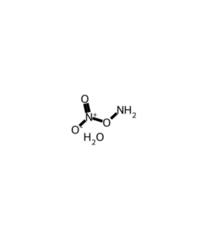 NO[N+](=O)[O-].O